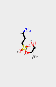 CC(C)[C@@H](CO)OS(=O)(=O)CCCN